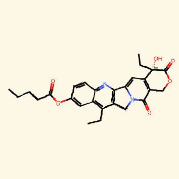 CCCCC(=O)Oc1ccc2nc3c(c(CC)c2c1)Cn1c-3cc2c(c1=O)COC(=O)[C@]2(O)CC